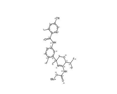 Cc1cc(C#N)cnc1C(=O)Nc1ccc(F)c(C2(C)COC(C(F)F)C(NC(=O)OC(C)(C)C)=N2)c1